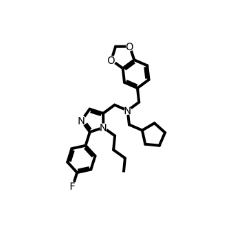 CCCCn1c(CN(Cc2ccc3c(c2)OCO3)CC2CCCC2)cnc1-c1ccc(F)cc1